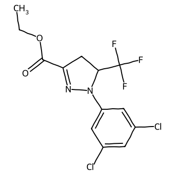 CCOC(=O)C1=NN(c2cc(Cl)cc(Cl)c2)C(C(F)(F)F)C1